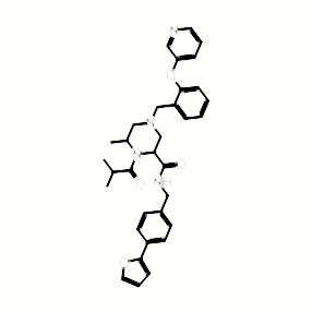 CC(C)C(=O)N1C(C)CN(Cc2ccccc2Oc2cccnc2)CC1C(=O)NCc1ccc(-c2ccco2)cc1